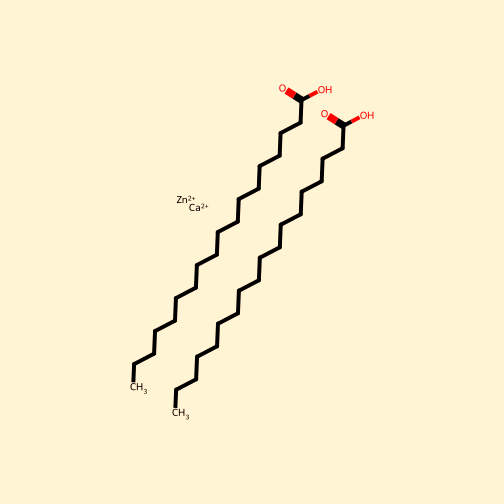 CCCCCCCCCCCCCCCCCC(=O)O.CCCCCCCCCCCCCCCCCC(=O)O.[Ca+2].[Zn+2]